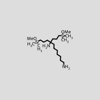 CO[Si](C)(C)CCCC(N)(CCCCCCCN)CCC[Si](C)(C)OC